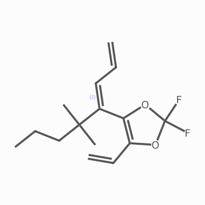 C=C/C=C(\C1=C(C=C)OC(F)(F)O1)C(C)(C)CCC